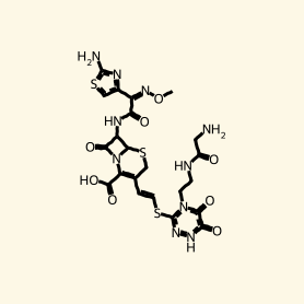 CO/N=C(\C(=O)NC1C(=O)N2C(C(=O)O)=C(/C=C/Sc3n[nH]c(=O)c(=O)n3CCNC(=O)CN)CSC12)c1csc(N)n1